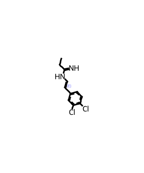 CCC(=N)N/C=C/c1ccc(Cl)c(Cl)c1